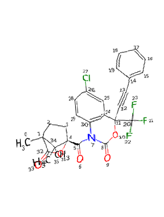 CC12CC[C@](C(=O)N3C(=O)OC(C#Cc4ccccc4)(C(F)(F)F)c4cc(Cl)ccc43)(OC1=O)C2(C)C